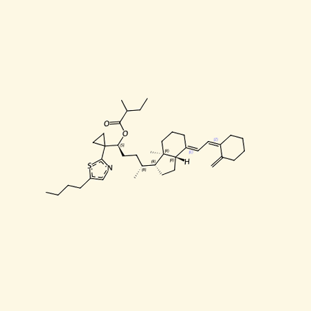 C=C1CCCC/C1=C/C=C1\CCC[C@]2(C)[C@@H]([C@H](C)CC[C@H](OC(=O)C(C)CC)C3(c4ncc(CCCC)s4)CC3)CC[C@@H]12